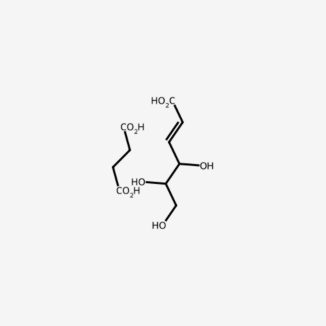 O=C(O)C=CC(O)C(O)CO.O=C(O)CCC(=O)O